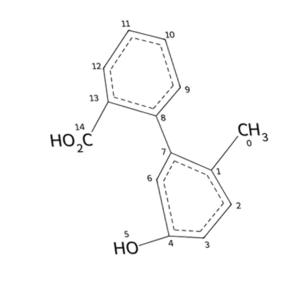 Cc1ccc(O)cc1-c1ccccc1C(=O)O